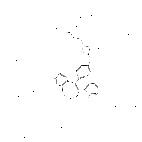 O=C(O)c1ccc2c(c1)CCCC(c1cccc(Cl)c1OC(F)(F)F)=C2c1ccc(CC2CN(CCCF)C2)cc1